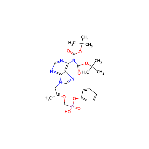 C[C@H](Cn1cnc2c(N(C(=O)OC(C)(C)C)C(=O)OC(C)(C)C)ncnc21)OCP(=O)(O)Oc1ccccc1